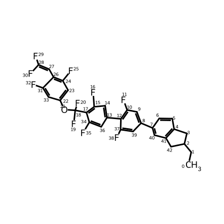 CCC1Cc2ccc(-c3cc(F)c(-c4cc(F)c(C(F)(F)Oc5cc(F)c(C=C(F)F)c(F)c5)c(F)c4)c(F)c3)cc2C1